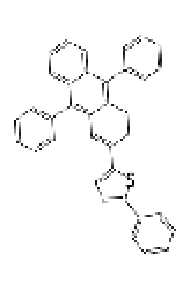 c1ccc(-c2ccc(-c3ccc4c(-c5ccccc5)c5ccccc5c(-c5ccccc5)c4c3)s2)cc1